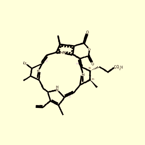 C=CC1=C(C)/C2=C/C3=NC(=C4/C(=O)OC(=O)c5c4[nH]c(c5C)/C=C4\N=C(CC1N2)C(C)C4CC)/[C@H](CCC(=O)O)[C@H]3C